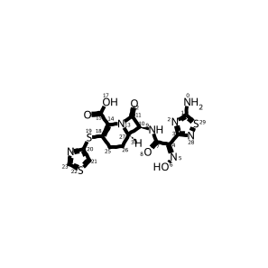 Nc1nc(/C(=N/O)C(=O)N[C@@H]2C(=O)N3C(C(=O)O)=C(Sc4cscn4)CC[C@H]23)ns1